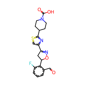 O=Cc1cccc(F)c1C1CC(c2csc(C3CCN(C(=O)O)CC3)n2)=NO1